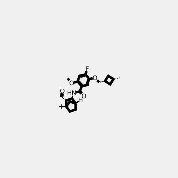 COc1cc(F)c(OC[C@H]2C[C@@H](C)C2)cc1C(=O)N[C@@H]1[C@@H]2CC[C@@H](C2)[C@@H]1C=O